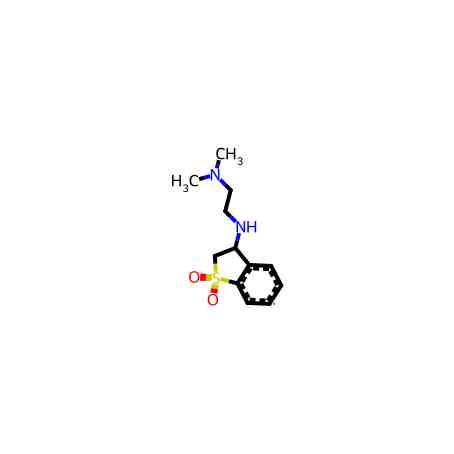 CN(C)CCNC1CS(=O)(=O)c2c[c]ccc21